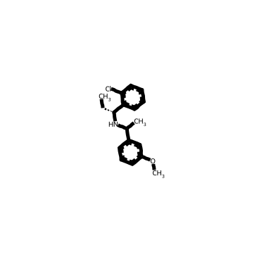 CC[C@@H](NC(C)c1cccc(OC)c1)c1ccccc1Cl